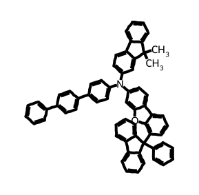 CC1(C)c2ccccc2-c2ccc(N(c3ccc(-c4ccc(-c5ccccc5)cc4)cc3)c3ccc4c(c3)oc3c(C5(c6ccccc6)c6ccccc6-c6ccccc65)cccc34)cc21